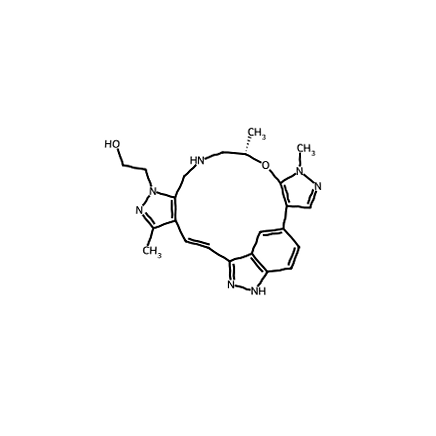 Cc1nn(CCO)c2c1/C=C/c1n[nH]c3ccc(cc13)-c1cnn(C)c1O[C@@H](C)CNC2